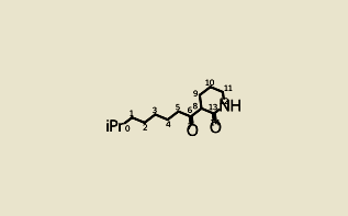 CC(C)CCCCCC(=O)C1CCCNC1=O